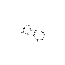 c1ccncc1.c1cnsn1